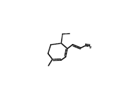 CCC1CCC(C)=CC=C1/C=C/N